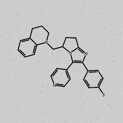 Fc1ccc(-c2nc3n(c2-c2ccncc2)C(CN2CCCc4ccccc42)CC3)cc1